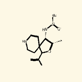 C=C(C)C1O[C@@H](C)[C@@H](N[S@+]([O-])C(C)(C)C)C12CCNCC2